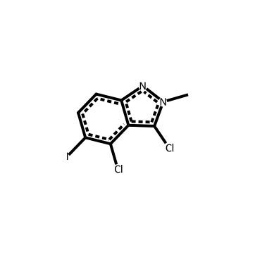 Cn1nc2ccc(I)c(Cl)c2c1Cl